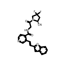 N#C[C@@H]1CC(F)(F)CN1C(=O)CNC(=O)c1ccncc1/C=C/c1cc2ccccc2o1